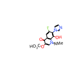 CNn1cc(OC(=O)O)c(=O)c2cc(F)c(-n3ccnc3)c(O)c21